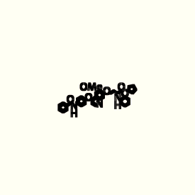 COc1cc2c(Oc3ccc(NC(=O)c4ccccc4)cc3)ccnc2cc1OCC[C@H](NC1CCCCC1)C(=O)OC1CCCC1